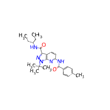 CCC(CC)NC(=O)c1nn(C(C)(C)C)c2nc(NC(=O)c3ccc(C)cc3)ccc12